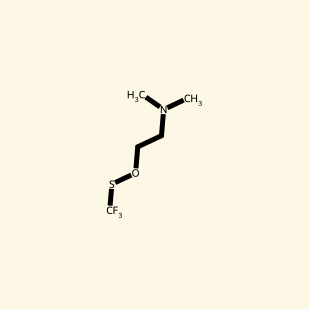 CN(C)CCOSC(F)(F)F